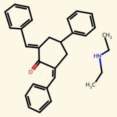 CCNCC.O=C1C(=Cc2ccccc2)CC(c2ccccc2)CC1=Cc1ccccc1